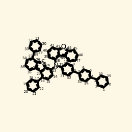 c1ccc(-c2ccc(-c3ccc(N(c4ccc(-c5ccccc5)c5c4sc4c(-c6ccccc6)cccc45)c4cccc5oc6ccccc6c45)cc3)cc2)cc1